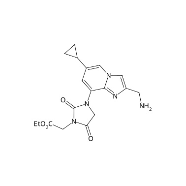 CCOC(=O)CN1C(=O)CN(c2cc(C3CC3)cn3cc(CN)nc23)C1=O